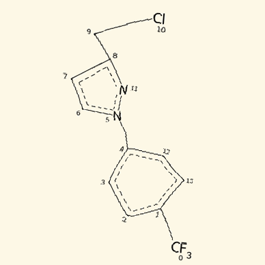 FC(F)(F)c1ccc(-n2ccc(CCl)n2)cc1